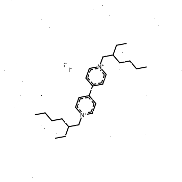 CCCCC(CC)C[n+]1ccc(-c2cc[n+](CC(CC)CCCC)cc2)cc1.[I-].[I-]